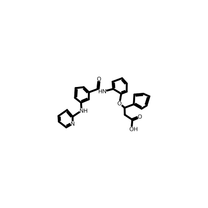 O=C(O)CC(Oc1ccccc1NC(=O)c1cccc(Nc2ccccn2)c1)c1ccccc1